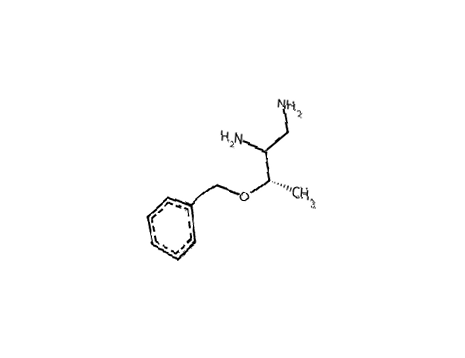 C[C@H](OCc1ccccc1)C(N)CN